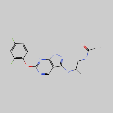 COC(=O)NCC(C)Nc1n[nH]c2nc(Oc3ccc(F)cc3F)ncc12